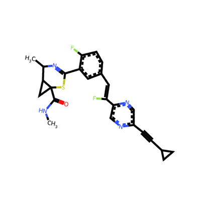 CNC(=O)C12CC1C(C)N=C(c1cc(C=C(F)c3cnc(C#CC4CC4)cn3)ccc1F)S2